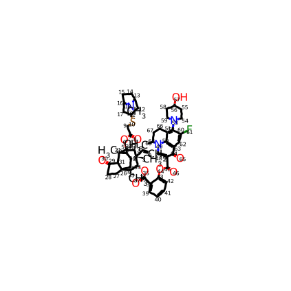 C=C[C@@]1(C)C[C@H](OC(=O)CSC2CC3CCC(C2)N3C)[C@@]2(C)C(C)CCC3(CCC(=O)C32)[C@H](C)[C@H]1OC(=O)c1ccccc1OC(=O)c1cn2c3c(c(N4CCC(O)CC4)c(F)cc3c1=O)CCC2C